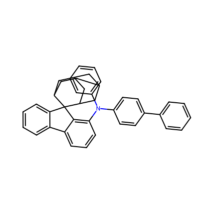 c1ccc(-c2ccc(N(c3ccccc3)c3cccc4c3C3(c5ccccc5-4)C4CCC5CC(C4)CC3C5)cc2)cc1